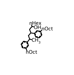 CCCCCCCCc1cccc(C(C)CC(CC(O)CCCCCC)c2cccc(CCCCCCCC)c2)c1